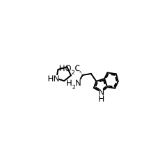 C1CCNC1.N[C@@H](Cc1c[nH]c2ccccc12)C(=O)O